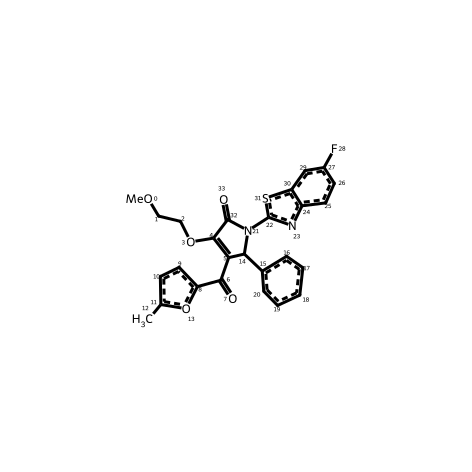 COCCOC1=C(C(=O)c2ccc(C)o2)C(c2ccccc2)N(c2nc3ccc(F)cc3s2)C1=O